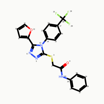 O=C(CSc1nnc(-c2ccco2)n1-c1ccc(C(F)(F)F)cc1)Nc1ccccc1